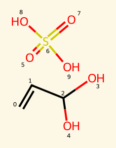 C=CC(O)O.O=S(=O)(O)O